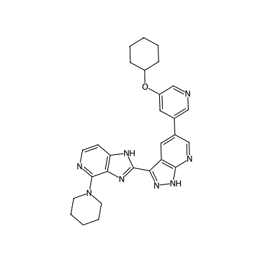 c1cc2[nH]c(-c3n[nH]c4ncc(-c5cncc(OC6CCCCC6)c5)cc34)nc2c(N2CCCCC2)n1